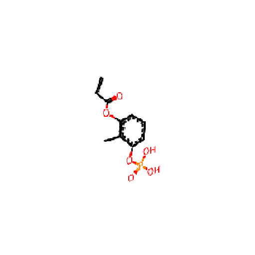 C=CC(=O)Oc1cccc(OP(=O)(O)O)c1C